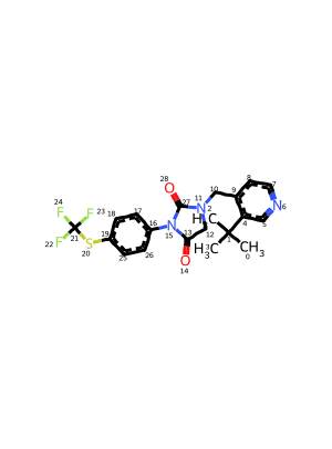 CC(C)(C)c1cnccc1CN1CC(=O)N(c2ccc(SC(F)(F)F)cc2)C1=O